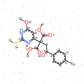 COC(=O)C(CC(=O)c1ccc(I)cc1)(C(=O)OC)c1cc(OC)nc(SC)n1